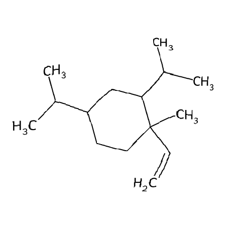 C=CC1(C)CCC(C(C)C)CC1C(C)C